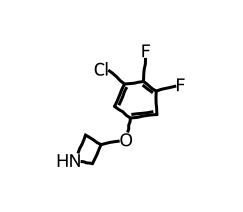 Fc1cc(OC2CNC2)cc(Cl)c1F